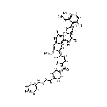 COc1cc2nc(C)nc(N[C@H](C)c3cc(-c4c(Cl)cccc4CN(C)C)cs3)c2cc1C1CCC(C(=O)N2CCN(CCCCC3CCNCC3)CC2)CC1